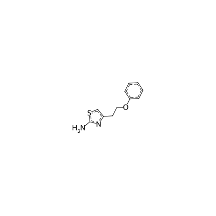 Nc1nc(CCOc2ccccc2)cs1